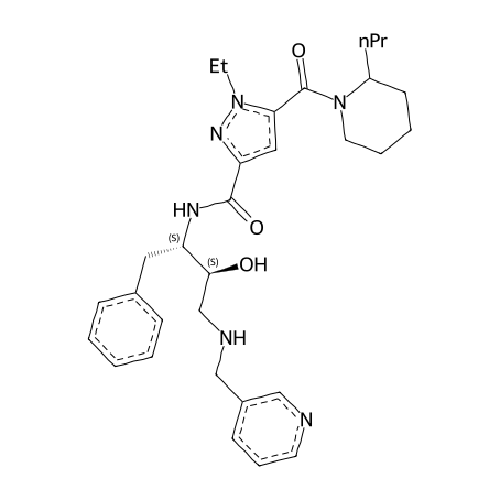 CCCC1CCCCN1C(=O)c1cc(C(=O)N[C@@H](Cc2ccccc2)[C@@H](O)CNCc2cccnc2)nn1CC